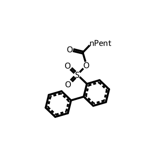 CCCCCC(=O)OS(=O)(=O)c1ccccc1-c1ccccc1